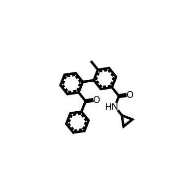 Cc1ccc(C(=O)NC2CC2)cc1-c1ccccc1C(=O)c1ccccc1